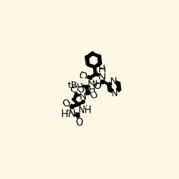 CC(C)(C)C(NC(=O)C(NC(=O)c1cnccn1)C1CCCCC1)C(=O)N1CC2(CC1C(=O)O)NC(=O)NC2=O